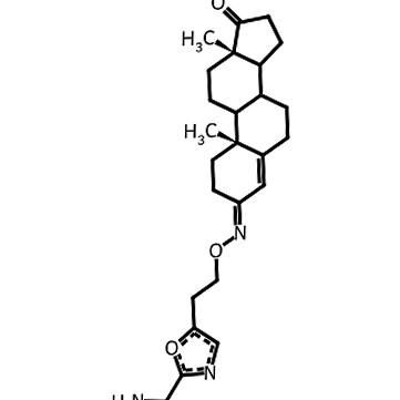 C[C@]12CC/C(=N\OCCc3cnc(CN)o3)C=C1CCC1C2CC[C@]2(C)C(=O)CCC12